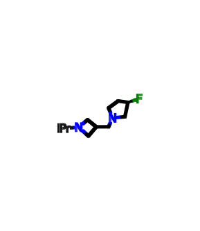 CC(C)N1CC(CN2CC[C@@H](F)C2)C1